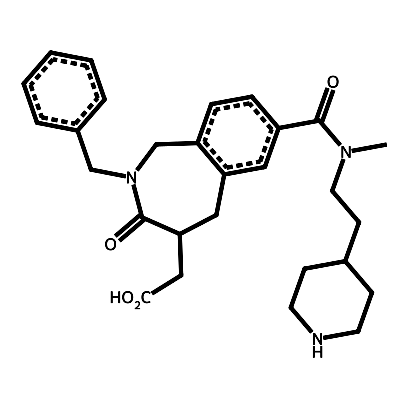 CN(CCC1CCNCC1)C(=O)c1ccc2c(c1)CC(CC(=O)O)C(=O)N(Cc1ccccc1)C2